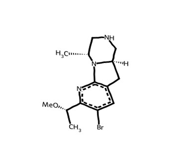 CO[C@@H](C)c1nc2c(cc1Br)C[C@@H]1CNC[C@@H](C)N21